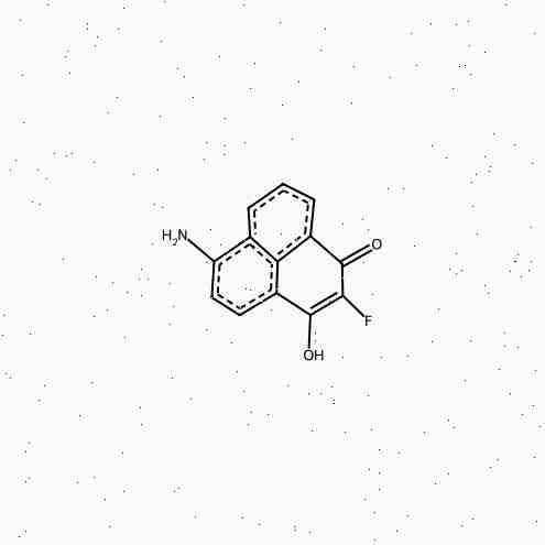 Nc1ccc2c3c(cccc13)C(=O)C(F)=C2O